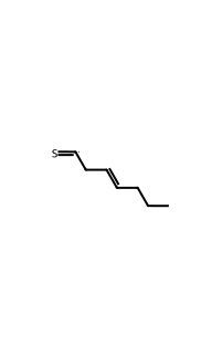 CCCC=CC[C]=S